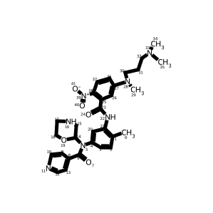 Cc1ccc(N(C(=O)c2ccncc2)C2CNCCO2)cc1NC(=O)c1cc(N(C)CCCN(C)C)ccc1[N+](=O)[O-]